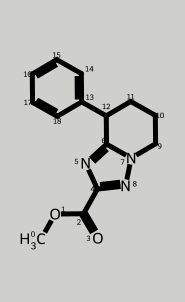 COC(=O)c1nc2n(n1)CCCC2c1ccccc1